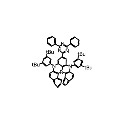 CC(C)(C)c1cc(N2c3cc(-c4nc(-c5ccccc5)nc(-c5ccccc5)n4)cc4c3B(c3c2ccc2ccccc32)c2c(ccc3ccccc23)N4c2cc(C(C)(C)C)cc(C(C)(C)C)c2)cc(C(C)(C)C)c1